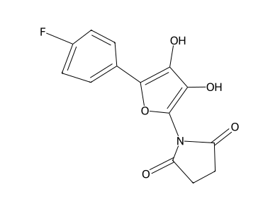 O=C1CCC(=O)N1c1oc(-c2ccc(F)cc2)c(O)c1O